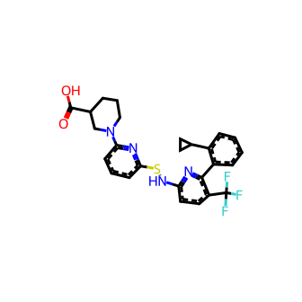 O=C(O)C1CCCN(c2cccc(SNc3ccc(C(F)(F)F)c(-c4ccccc4C4CC4)n3)n2)C1